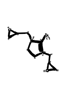 Cc1n(CC2CO2)cc[n+]1CC1CO1